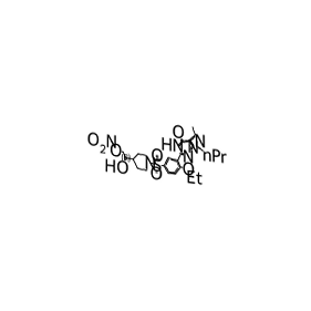 CCCc1nc(C)c2c(=O)[nH]c(-c3cc(S(=O)(=O)N4CCC([C@@H](O)CO[N+](=O)[O-])CC4)ccc3OCC)nn12